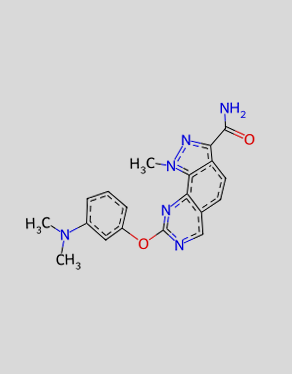 CN(C)c1cccc(Oc2ncc3ccc4c(C(N)=O)nn(C)c4c3n2)c1